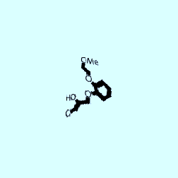 COCCOc1ccccc1OCC(O)CCl